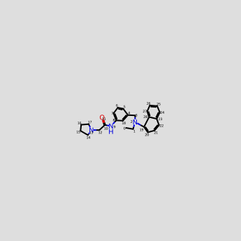 CCN(Cc1cccc(NC(=O)CN2CCCC2)c1)c1cccc2ccccc12